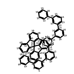 c1ccc(-c2cccc(-c3cccc(-c4nc(-c5cccc(-c6cccc(-c7ccccc7)c6)c5)nc(-c5cccc6c5C5(c7ccccc7-c7ccccc75)c5ccccc5-6)n4)c3)c2)cc1